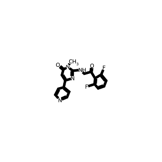 Cn1c(NCC(=O)c2c(F)cccc2F)nc(-c2ccncc2)cc1=O